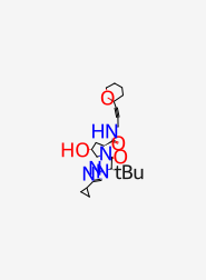 CC(C)(C)[C@@H](C(=O)N1C[C@H](O)C[C@H]1C(=O)NCC#CC1CCCCO1)n1cc(C2CC2)nn1